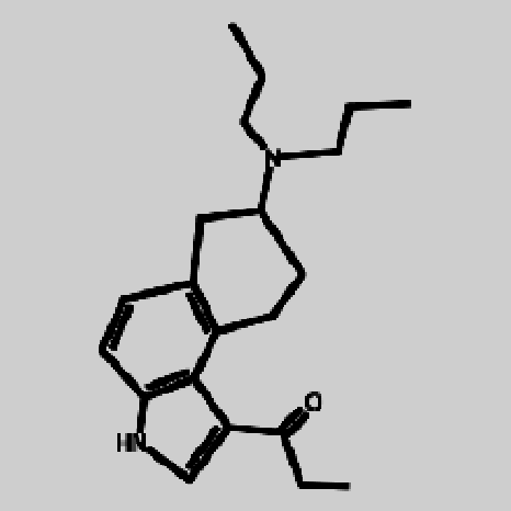 CCCN(CCC)C1CCc2c(ccc3[nH]cc(C(=O)CC)c23)C1